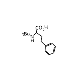 CC(C)(C)NC(CCc1ccccc1)C(=O)O